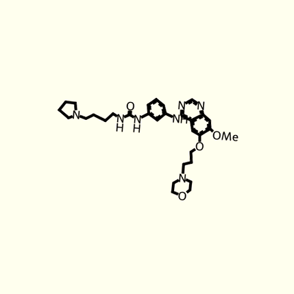 COc1cc2ncnc(Nc3cccc(NC(=O)NCCCCN4CCCC4)c3)c2cc1OCCCN1CCOCC1